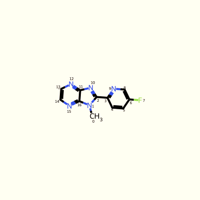 Cn1c(-c2ccc(F)cn2)nc2n[c]cnc21